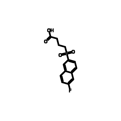 O=C(O)CCCS(=O)(=O)c1ccc2cc(F)ccc2c1